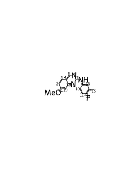 COc1ccc2cnc(Nc3ccc(F)c(C)c3)nc2c1